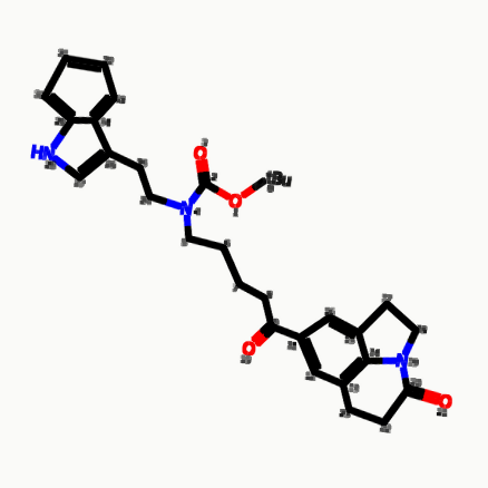 CC(C)(C)OC(=O)N(CCCCC(=O)c1cc2c3c(c1)CCN3C(=O)CC2)CCc1c[nH]c2ccccc12